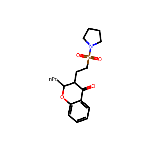 CCCC1Oc2ccccc2C(=O)C1CCS(=O)(=O)N1CCCC1